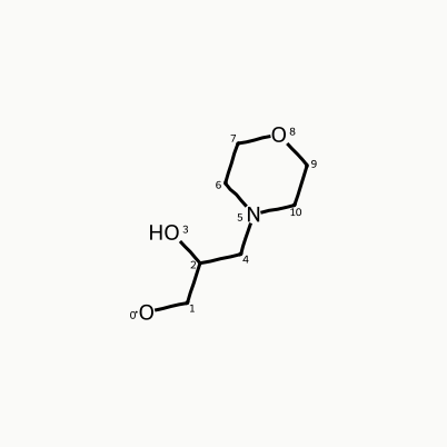 [O]CC(O)CN1CCOCC1